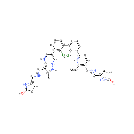 COc1nc(-c2cccc(-c3cccc(-c4cnc5c(CNC[C@H]6CCC(=O)N6)c(C)nn5c4)c3Cl)c2Cl)ccc1CNC[C@H]1CCC(=O)N1